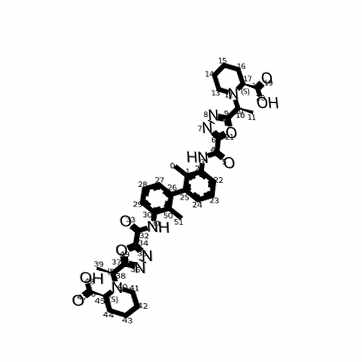 Cc1c(NC(=O)c2nnc([C@H](C)N3CCCC[C@H]3C(=O)O)o2)cccc1-c1cccc(NC(=O)c2nnc([C@H](C)N3CCCC[C@H]3C(=O)O)o2)c1C